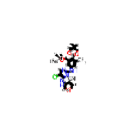 CC1(C)COB(c2c(CO[Si](C)(C)C(C)(C)C)cc(Nc3ncc(Cl)c(NC4COCCC4C#N)n3)cc2C(F)(F)F)OC1